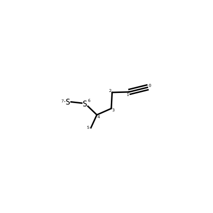 C#CCCC(C)S[S]